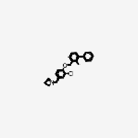 Cc1c(COc2ccc(CN3CCC3)cc2Cl)cccc1-c1ccccc1